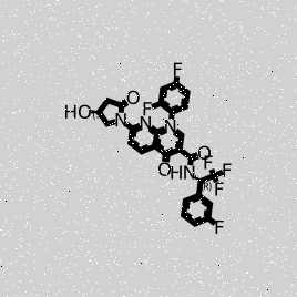 O=C(N[C@H](c1cccc(F)c1)C(F)(F)F)c1cn(-c2ccc(F)cc2F)c2nc(N3C[C@@H](O)CC3=O)ccc2c1=O